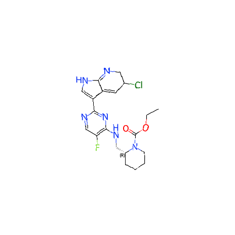 CCOC(=O)N1CCCC[C@@H]1CNc1nc(-c2c[nH]c3c2=CC(Cl)CN=3)ncc1F